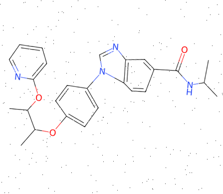 CC(C)NC(=O)c1ccc2c(c1)ncn2-c1ccc(OC(C)C(C)Oc2ccccn2)cc1